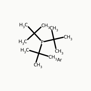 CC(C)(C)P(C(C)(C)C)C(C)(C)C.[Ar]